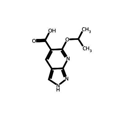 CC(C)Oc1nc2n[nH]cc2cc1C(=O)O